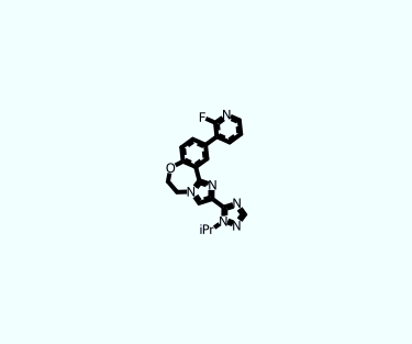 CC(C)n1ncnc1-c1cn2c(n1)-c1cc(-c3cccnc3F)ccc1OCC2